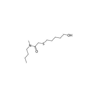 CCCCN(C)C(=O)CSCCCCCO